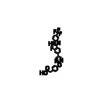 O=C(O)Cc1ccc(Oc2ncc(-c3ccc(-c4nc5cc(C(F)(F)F)ccc5[nH]4)c(F)c3)cn2)cc1